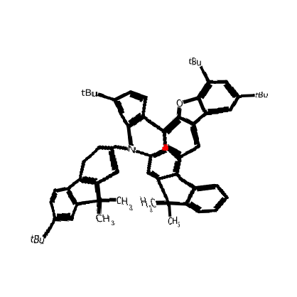 CC(C)(C)c1ccc(-c2cccc3c2oc2c(C(C)(C)C)cc(C(C)(C)C)cc23)c(N(C2=CC3=C(CC2)c2ccc(C(C)(C)C)cc2C3(C)C)c2ccc3c(c2)C(C)(C)c2ccccc2-3)c1